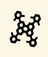 Cc1cccc(C)c1-c1cc2cc(-c3c(C)cccc3C)cc3c4cc(-c5c(C)cccc5C)cc5cc(-c6c(C)cccc6C)cc(c(c1)c23)c54